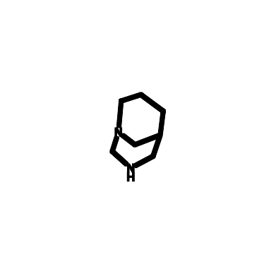 C1CC2CNCN(C1)C2